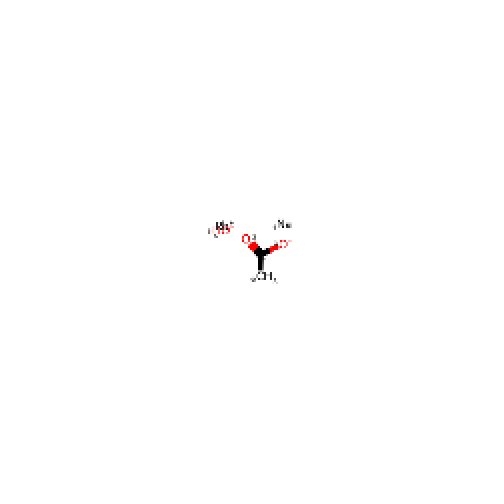 CC(=O)[O-].[Na+].[OH-].[Rb+]